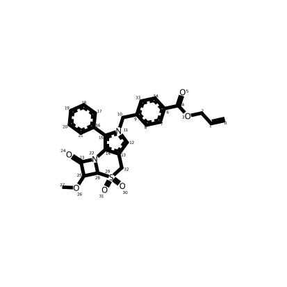 C=CCOC(=O)c1ccc(Cn2cc3c(c2-c2ccccc2)N2C(=O)C(OC)C2S(=O)(=O)C3)cc1